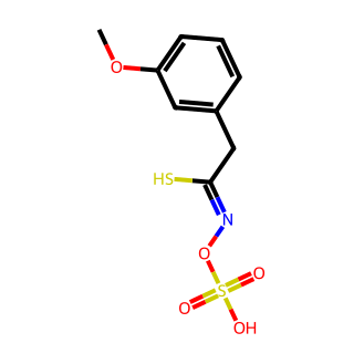 COc1cccc(CC(S)=NOS(=O)(=O)O)c1